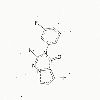 O=c1c2c(F)ccn2nc(I)n1-c1cccc(F)c1